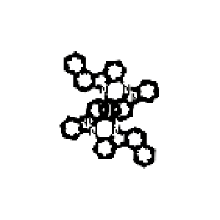 N#Cc1cc(-n2c3ccc4ccccc4c3c3cccc(-n4c5ccccc5c5ccccc54)c32)c(C#N)cc1-n1c2ccc3ccccc3c2c2cccc(-n3c4ccccc4c4ccccc43)c21